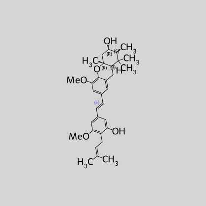 COc1cc(/C=C/c2cc3c(c(OC)c2)O[C@]2(C)C[C@@H](O)[C@@H](C)C(C)(C)[C@H]2C3)cc(O)c1CC=C(C)C